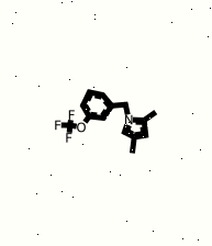 Cc1cc(C)n(Cc2cccc(OC(F)(F)F)c2)c1